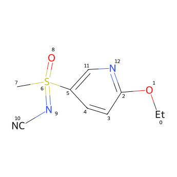 CCOc1ccc(S(C)(=O)=NC#N)cn1